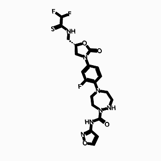 O=C(Nc1ccon1)N1CCN(c2ccc(N3C[C@H](CNC(=S)C(F)F)OC3=O)cc2F)CCN1